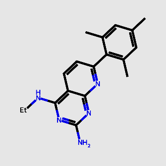 CCNc1nc(N)nc2nc(-c3c(C)cc(C)cc3C)ccc12